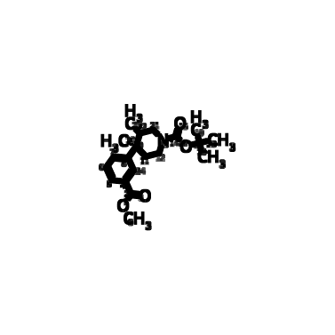 COC(=O)c1cccc([C@]2(C)CCN(C(=O)OC(C)(C)C)CC2C)c1